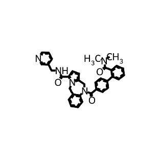 CN(C)C(=O)c1ccccc1-c1ccc(C(=O)N2Cc3ccc(C(=O)NCc4cccnc4)n3Cc3ccccc32)cc1